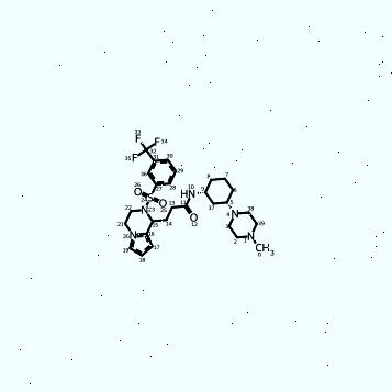 CN1CCN([C@H]2CCC[C@@H](NC(=O)CCC3c4cccn4CCN3S(=O)(=O)c3cccc(C(F)(F)F)c3)C2)CC1